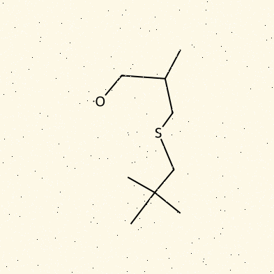 CC(C[O])CSCC(C)(C)C